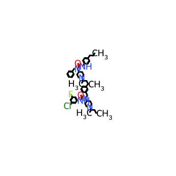 CCCc1ccc(NC(=O)N(Cc2ccccc2)C2CCN(C(C)CC(C)c3cccc(CN(C(=O)Nc4cc(F)cc(Cl)c4)C4CCN(C(C)CCC)CC4)c3)CC2)cc1